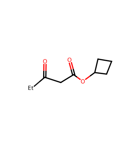 CCC(=O)CC(=O)OC1CCC1